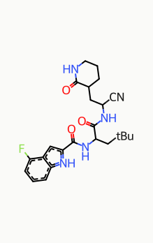 CC(C)(C)CC(NC(=O)c1cc2c(F)cccc2[nH]1)C(=O)NC(C#N)CC1CCCNC1=O